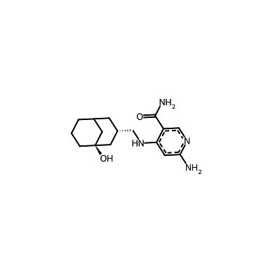 NC(=O)c1cnc(N)cc1NC[C@H]1CC2CCC[C@](O)(C2)C1